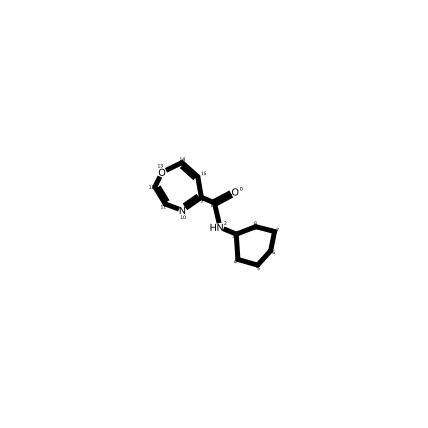 O=C(NC1CCCCC1)C1=NC=COC=C1